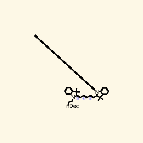 C#CC#CC#CC#CC#CC#CC#CC#CC#CC#CC#C[N+]1=C(/C=C/C=C/C=C2/N(CCCCCCCCCCCC)c3ccccc3C2(C)C)C(C)(C)c2ccccc21